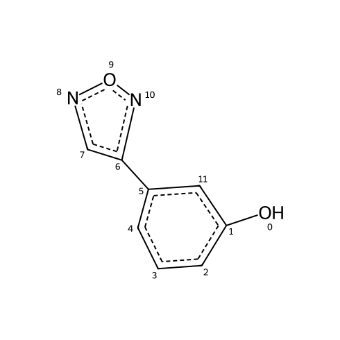 Oc1cccc(-c2cnon2)c1